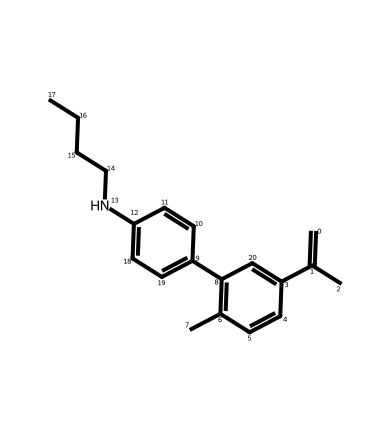 C=C(C)c1ccc(C)c(-c2ccc(NCCCC)cc2)c1